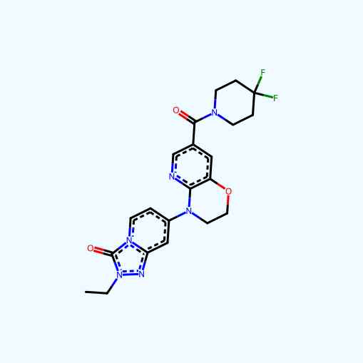 CCn1nc2cc(N3CCOc4cc(C(=O)N5CCC(F)(F)CC5)cnc43)ccn2c1=O